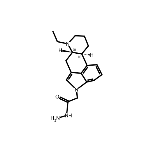 CCN1CCC[C@H]2c3cccc4c3c(cn4CC(=O)NN)C[C@@H]21